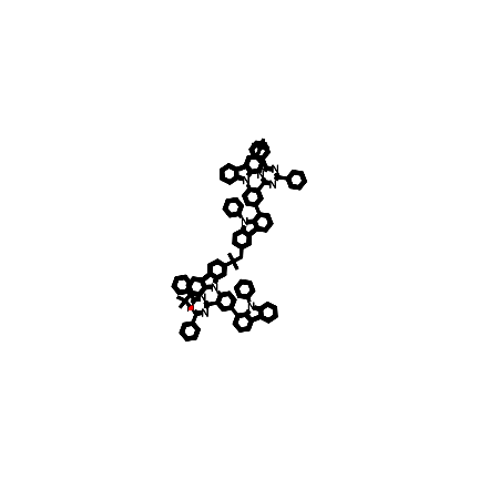 CC(C)(C)c1ccc2c(c1)c1ccccc1n2-c1ccc(-c2cccc3c4cc(CC(C)(C)c5ccc6c7ccc(C(C)(C)C)cc7n(-c7ccc(-c8cccc9c%10ccccc%10n(-c%10ccccc%10)c89)cc7-c7nc(-c8ccccc8)nc(-c8ccccc8)n7)c6c5)ccc4n(-c4ccccc4)c23)cc1-c1nc(-c2ccccc2)nc(-c2ccccc2)n1